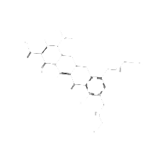 CN(C)C1C(O)=C(C(N)=O)C(=O)[C@]2(O)C(O)=C3C(=O)c4c(O)c(CNCC(C)(C)C)cc(CNCC(C)(C)C)c4C[C@@H]3C[C@H]12